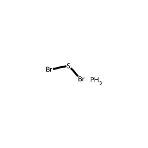 BrSBr.P